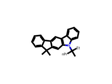 CCCC(C)(CC)n1c2ccccc2c2cc3c(cc21)C(C)(C)c1ccccc1-3